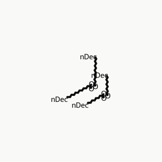 CCCCCCCCCCCCCCCCCC(=O)OC(=O)CCCCCCCCCCCCCCCCC.CCCCCCCCCCCCCCCCCCCCCC(=O)OC(=O)CCCCCCCCCCCCCCCCCCCCC